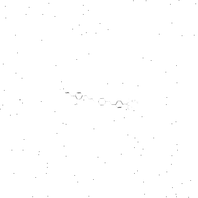 CCC=CCc1ccc(CCCC[C@H]2CC[C@H](CCc3ccc(C(CC)OC)cc3)CC2)cc1